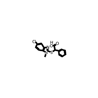 Cn1c(SC(C(=O)O)c2ccccc2)nc2cc(Cl)ccc21